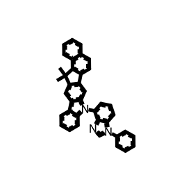 CC1(C)c2cc3c4ccccc4n(-c4cccc5c4ncn5-c4ccccc4)c3cc2-c2ccc3ccccc3c21